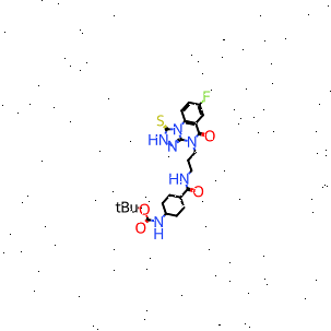 CC(C)(C)OC(=O)NC1CCC(C(=O)NCCCn2c(=O)c3cc(F)ccc3n3c(=S)[nH]nc23)CC1